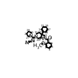 COc1ccccc1C(=O)NCC1(c2ccccc2)CCN(/C(=N/C#N)N2CCCC2)CC1